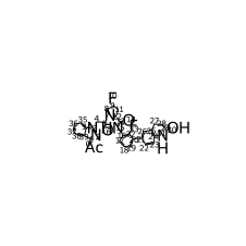 CC(=O)c1nn(CC(=O)N2C[C@H](F)C[C@H]2C(=O)Nc2cccc(-c3ccc4c(c3)CCC(O)N4)c2F)c2ccccc12